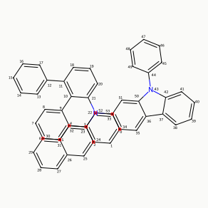 c1ccc(-c2ccccc2-c2c(-c3ccccc3)cccc2N(c2ccc3ccccc3c2)c2ccc3c4ccccc4n(-c4ccccc4)c3c2)cc1